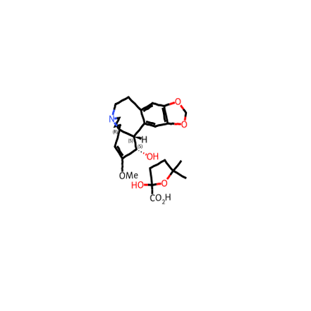 CC1(C)CCC(O)(C(=O)O)O1.COC1=C[C@]23CCCN2CCc2cc4c(cc2[C@@H]3[C@@H]1O)OCO4